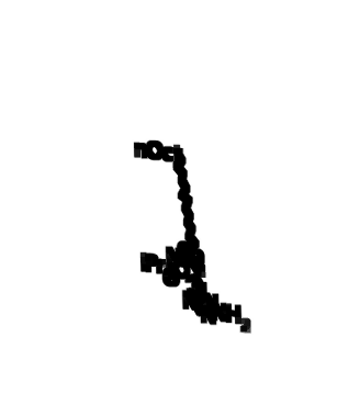 CCCCCCCCC=CCCCCCCCCCCCC(=O)OCC[C@@H](COC(=O)[C@@H](N)C(C)C)Cn1cnc2cnc(N)nc21